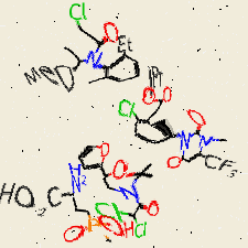 CC(C)OC(=O)c1cc(-n2c(=O)cc(C(F)(F)F)n(C)c2=O)ccc1Cl.CC1(C)OC(c2ccco2)CN1C(=O)C(Cl)Cl.CCc1cccc(C)c1N(C(=O)CCl)C(C)COC.CP(=O)(O)CCC(N)C(=O)O